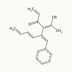 C=CC=CC(=Cc1ccccc1)C(C(=O)C=C)=C(C)C#N